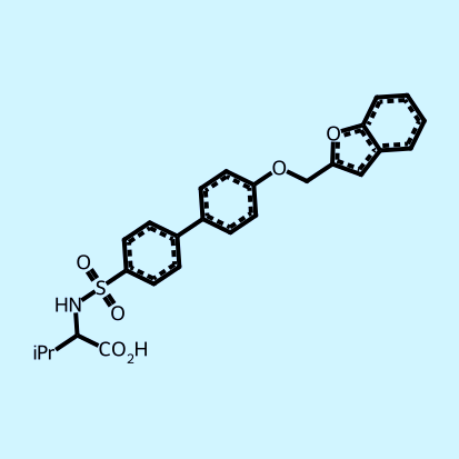 CC(C)C(NS(=O)(=O)c1ccc(-c2ccc(OCc3cc4ccccc4o3)cc2)cc1)C(=O)O